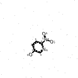 [O]c1ccc([N+](=O)[O-])nc1